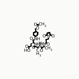 CC(=O)OCc1ccc(NC(=O)[C@H](CCC(=O)O)NC(=O)[C@H](C)NC(=O)[C@@H](C)NC(=O)CCN2C(=O)C=CC2=O)cc1